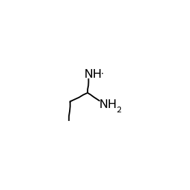 CCC([NH])N